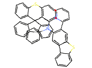 c1ccc(N(c2cc3c(cc2-c2ccccn2)sc2ccccc23)c2cccc3c2C2(c4ccccc4S3)c3ccccc3-c3ccccc32)cc1